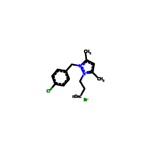 CCCCCCCCCCCC[n+]1c(C)cc(C)n1Cc1ccc(Cl)cc1.[Br-]